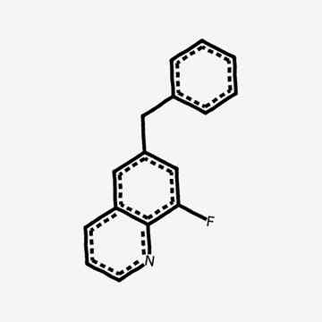 Fc1cc(Cc2ccccc2)cc2cccnc12